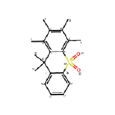 Cc1c(C)c(C)c2c(c1C)C(C)(C)c1ccccc1S2(=O)=O